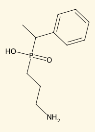 CC(c1ccccc1)P(=O)(O)CCCN